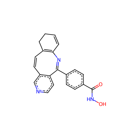 O=C(NO)c1ccc(/C2=N/C3=C(C=Cc4cnccc42)CCC=C3)cc1